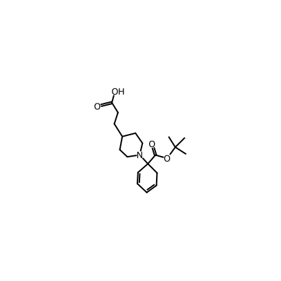 CC(C)(C)OC(=O)C1(N2CCC(CCC(=O)O)CC2)C=CC=CC1